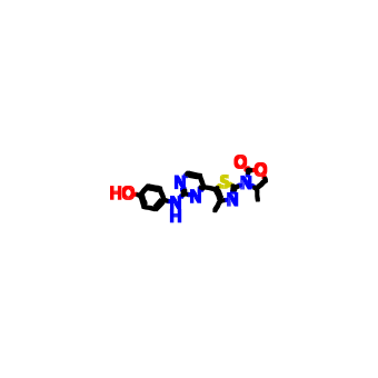 Cc1nc(N2C(=O)OCC2C)sc1-c1ccnc(Nc2ccc(O)cc2)n1